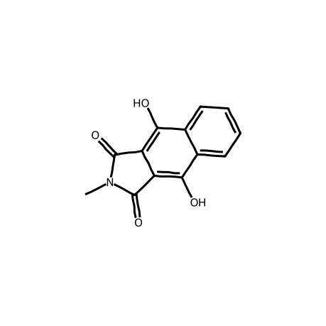 CN1C(=O)c2c(c(O)c3ccccc3c2O)C1=O